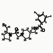 Cc1cc(C)cc(C(=O)NCC2CCN(CC(=O)N3CCC[C@H]3CF)CC2)c1